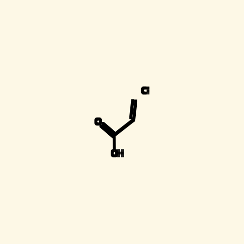 C=CC(=O)O.[C]